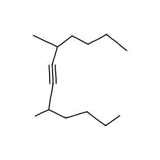 CCCCC(C)C#CC(C)CCCC